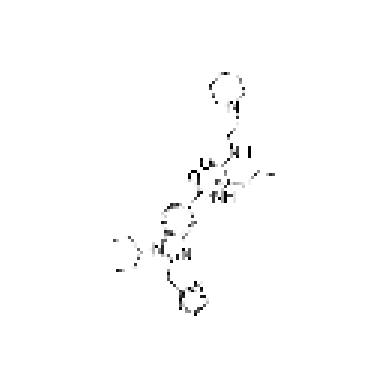 CCC[C@H](NC(=O)c1ccc2c(c1)nc(Cc1cccs1)n2C(CC)CC)C(=O)NCCN1CCCCC1